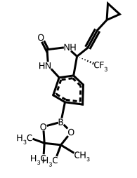 CC1(C)OB(c2ccc3c(c2)NC(=O)N[C@]3(C#CC2CC2)C(F)(F)F)OC1(C)C